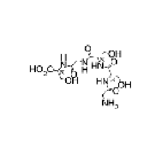 NCC(=O)N[C@@H](CO)C(=O)N[C@@H](CO)C(=O)NCC(=O)N[C@@H](CO)C(=O)O